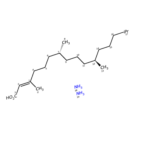 C/C(=C\C(=O)O)CCC[C@H](C)CCC[C@H](C)CCCC(C)C.N.N